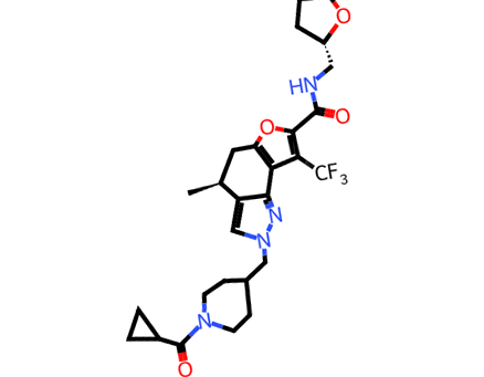 C[C@H]1Cc2oc(C(=O)NC[C@@H]3CCCO3)c(C(F)(F)F)c2-c2nn(CC3CCN(C(=O)C4CC4)CC3)cc21